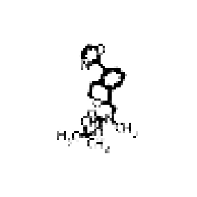 CN(CC1OCCc2c(-c3ncco3)cccc21)C(=O)OC(C)(C)C